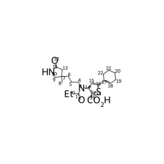 CCC(=O)N(CCCC1(C)CNC(=O)C1)c1cc(C2=CCCCC2)sc1C(=O)O